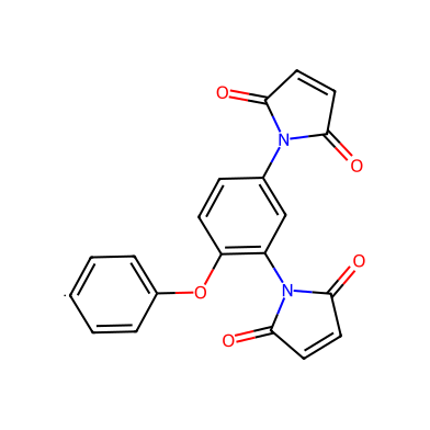 O=C1C=CC(=O)N1c1ccc(Oc2cc[c]cc2)c(N2C(=O)C=CC2=O)c1